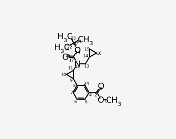 COC(=O)c1cccc(C2CC2N(CC2CC2)C(=O)OC(C)(C)C)c1